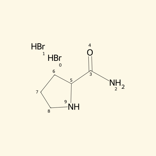 Br.Br.NC(=O)C1CCCN1